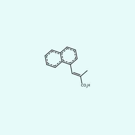 CC(=Cc1cccc2ccccc12)C(=O)O